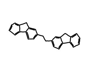 c1ccc2c(c1)Cc1cc(CCc3ccc4c(c3)Cc3ccccc3-4)ccc1-2